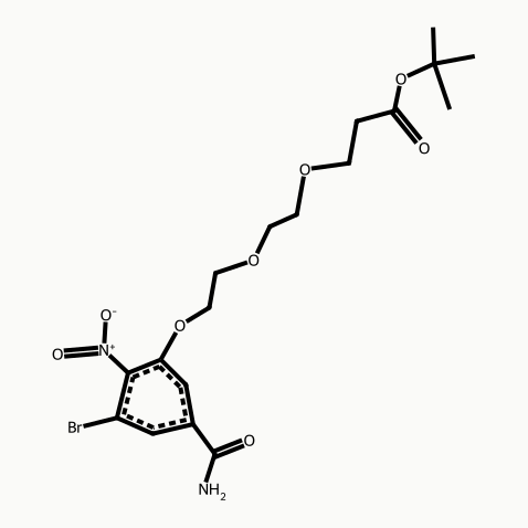 CC(C)(C)OC(=O)CCOCCOCCOc1cc(C(N)=O)cc(Br)c1[N+](=O)[O-]